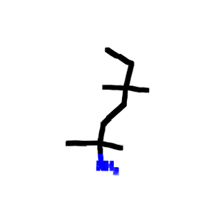 CCC(C)(C)CCC(C)(C)N